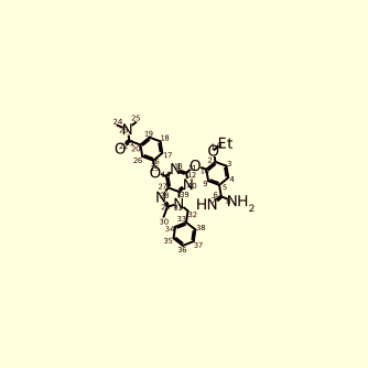 CCOc1ccc(C(=N)N)cc1Oc1nc(Oc2cccc(C(=O)N(C)C)c2)c2nc(C)n(Cc3ccccc3)c2n1